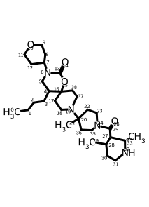 CCCCC1CN(C2CCOCC2)C(=O)OC12CCN(C1(C)CCN(C(=O)C3C(C)CCN[C@H]3C)CC1)CC2